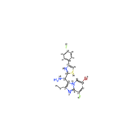 CCc1nc2c(F)cc(Br)cn2c1C(N)c1nc(-c2ccc(F)cc2)cs1